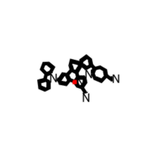 N#CC1=CCc2c(n(-c3cc(C#N)ccc3-c3ccccc3-c3cc(-n4c5c(c6ccccc64)CCC=C5)ccc3C#N)c3ccccc23)C=C1